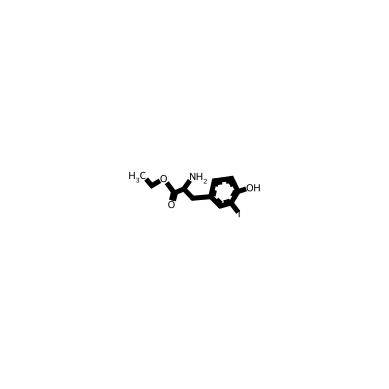 CCOC(=O)C(N)Cc1ccc(O)c(I)c1